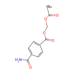 CC(C)(C)C(=O)OCOC(=O)c1ccc(C(N)=O)cc1